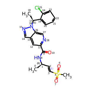 C[C@H](/C=C/S(C)(=O)=O)NC(=O)c1cc2cnn([C@@H](C)c3ccccc3Cl)c2cn1